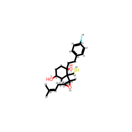 COC1C(O)CCC(O)(CCc2ccc(F)cc2)C1(CS)C1(C)OC1CC=C(C)C